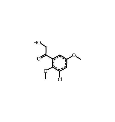 COc1cc(Cl)c(OC)c(C(=O)CO)c1